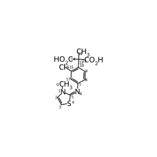 Cn1ccsc1=Nc1ccc(C(C)(C(=O)O)C(=O)O)c(Cl)c1